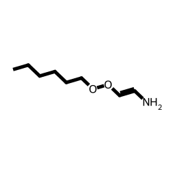 CCCCCCOOC=CN